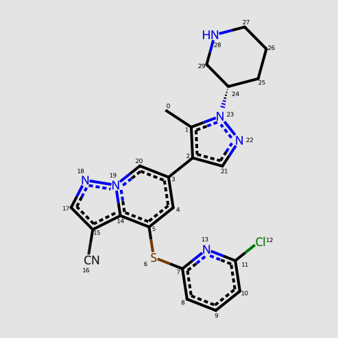 Cc1c(-c2cc(Sc3cccc(Cl)n3)c3c(C#N)cnn3c2)cnn1[C@H]1CCCNC1